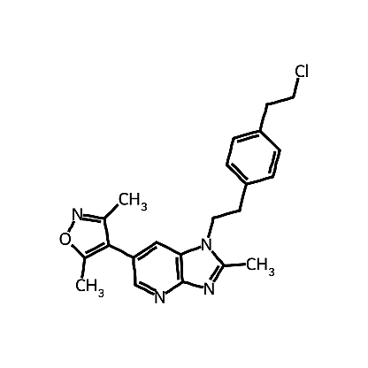 Cc1noc(C)c1-c1cnc2nc(C)n(CCc3ccc(CCCl)cc3)c2c1